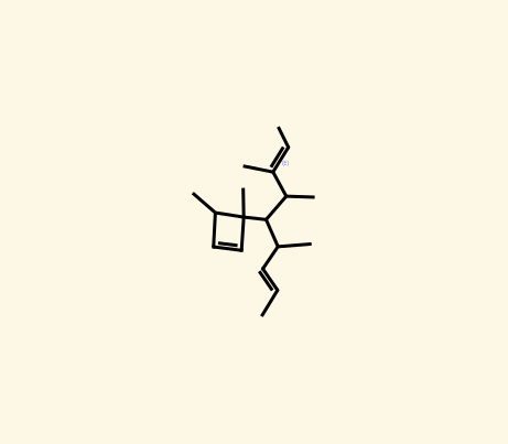 CC=CC(C)C(C(C)/C(C)=C/C)C1(C)C=CC1C